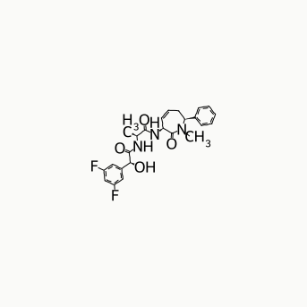 C[C@H](NC(=O)[C@@H](O)c1cc(F)cc(F)c1)C(=O)N[C@H]1C=CC[C@@H](c2ccccc2)N(C)C1=O